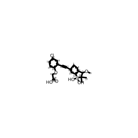 COC1c2ccc(C#Cc3cc(Cl)ccc3OCC(=O)O)cc2S(O)(O)C1(C)C